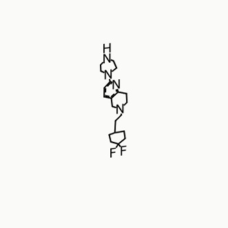 FC1(F)CCC(CCN2CCc3nc(N4CCNCC4)ccc3C2)CC1